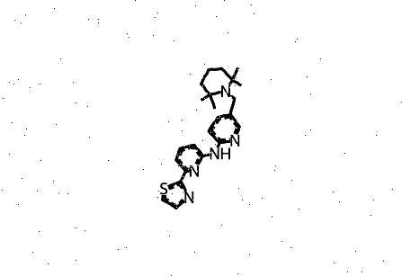 CC1(C)CCCC(C)(C)N1Cc1ccc(Nc2cccc(-c3nccs3)n2)nc1